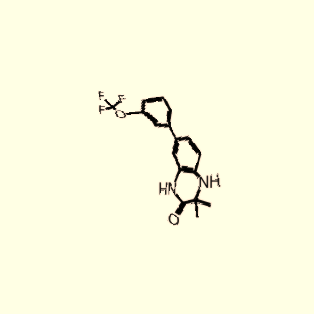 CC1(C)Nc2ccc(-c3cccc(OC(F)(F)F)c3)cc2NC1=O